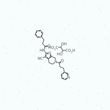 N#Cc1c(NC(=O)CCc2ccccc2)sc2c1CCN(C(=O)CCc1cccnc1)C2.O=C(O)C(O)C(O)C(=O)O